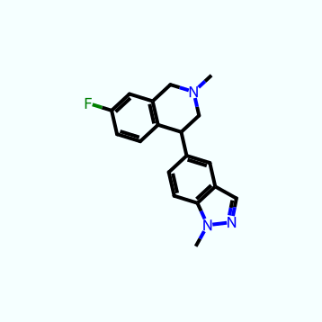 CN1Cc2cc(F)ccc2C(c2ccc3c(cnn3C)c2)C1